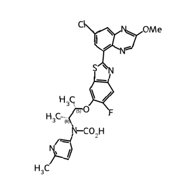 COc1cnc2c(-c3nc4cc(F)c(O[C@@H](C)[C@@H](C)N(C(=O)O)c5ccc(C)nc5)cc4s3)cc(Cl)cc2n1